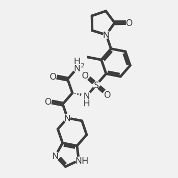 Cc1c(N2CCCC2=O)cccc1S(=O)(=O)N[C@@H](C(N)=O)C(=O)N1CCc2[nH]cnc2C1